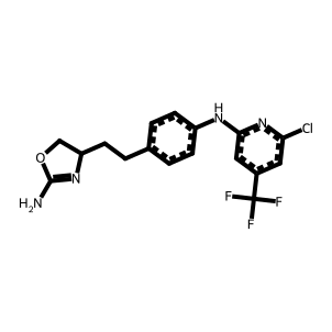 NC1=NC(CCc2ccc(Nc3cc(C(F)(F)F)cc(Cl)n3)cc2)CO1